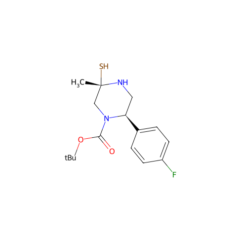 CC(C)(C)OC(=O)N1C[C@](C)(S)NC[C@H]1c1ccc(F)cc1